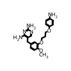 COc1ccc(Cc2cnc(N)nc2N)cc1OCCCOc1ccc(N)cc1